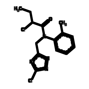 CCC(Cl)C(=O)N(Cc1nnc(Cl)s1)c1ccccc1C